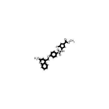 COC(=O)C1CC(F)C(NS(=O)(=O)c2ccc(OCc3cc(C)nc4ccccc34)cc2)C1